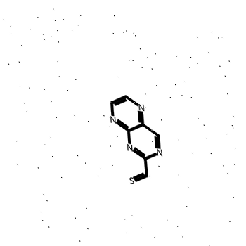 S=[C]c1ncc2nccnc2n1